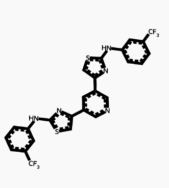 FC(F)(F)c1cccc(Nc2nc(-c3cncc(-c4csc(Nc5cccc(C(F)(F)F)c5)n4)c3)cs2)c1